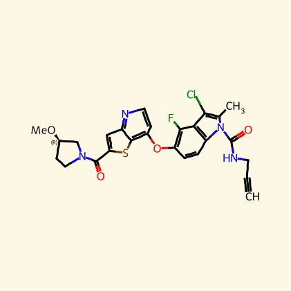 C#CCNC(=O)n1c(C)c(Cl)c2c(F)c(Oc3ccnc4cc(C(=O)N5CC[C@@H](OC)C5)sc34)ccc21